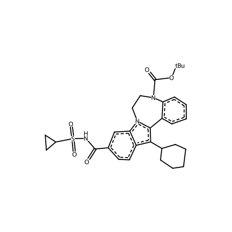 CC(C)(C)OC(=O)N1CCn2c(c(C3CCCCC3)c3ccc(C(=O)NS(=O)(=O)C4CC4)cc32)-c2ccccc21